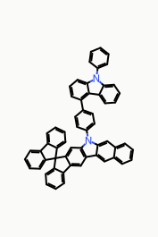 c1ccc(-n2c3ccccc3c3c(-c4ccc(-n5c6cc7c(cc6c6cc8ccccc8cc65)-c5ccccc5C75c6ccccc6-c6ccccc65)cc4)cccc32)cc1